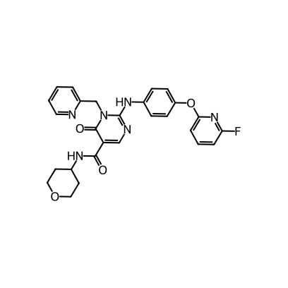 O=C(NC1CCOCC1)c1cnc(Nc2ccc(Oc3cccc(F)n3)cc2)n(Cc2ccccn2)c1=O